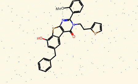 COc1ccccc1-c1nc2sc3c(O)cc(Cc4ccccc4)cc3c2c(=O)n1CCc1cccs1